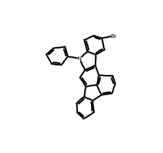 Brc1ccc2c(c1)c1c3cccc4c3c(cc1n2-c1ccccc1)-c1ccccc1-4